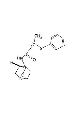 C/C(=C/C(=O)N[C@H]1CN2CCC1CC2)Sc1ccccc1